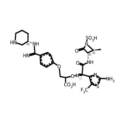 C[C@H]1[C@H](NC(=O)/C(=N\OC(COc2ccc(C(=N)N[C@H]3CCCNC3)cc2)C(=O)O)c2nc(N)sc2C(F)(F)F)C(=O)N1S(=O)(=O)O